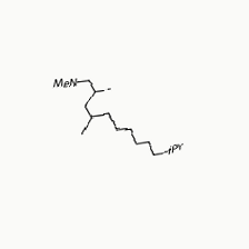 CNCC(C)CC(C)CCCCCCC(C)C